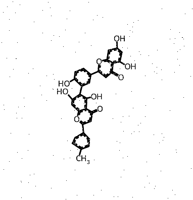 Cc1ccc(-c2cc(=O)c3c(O)c(-c4cc(-c5cc(=O)c6c(O)cc(O)cc6o5)ccc4O)c(O)cc3o2)cc1